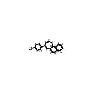 Clc1ccc(C2=Cc3ccc4ccccc4c3CC=C2)cc1